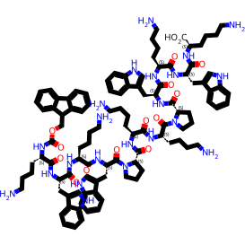 NCCCC[C@H](NC(=O)[C@H](Cc1c[nH]c2ccccc12)NC(=O)[C@H](CCCCN)NC(=O)[C@H](Cc1c[nH]c2ccccc12)NC(=O)[C@@H]1CCCN1C(=O)[C@H](CCCCN)NC(=O)[C@H](CCCCN)NC(=O)[C@@H]1CCCN1C(=O)[C@H](Cc1c[nH]c2ccccc12)NC(=O)[C@H](CCCCN)NC(=O)[C@H](Cc1c[nH]c2ccccc12)NC(=O)[C@H](CCCCN)NC(=O)OCC1c2ccccc2-c2ccccc21)C(=O)O